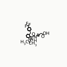 CC(C)n1nc(C(=O)NC23CC(CC(=O)O)(C2)C3)c2c(Cc3ccc(C(F)(F)F)cc3)cccc21